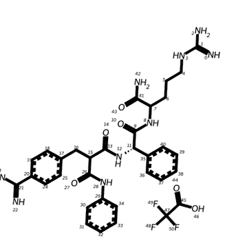 N=C(N)NCCCC(NC(=O)[C@@H](NC(=O)C(Cc1ccc(C(=N)N)cc1)C(=O)Nc1ccccc1)c1ccccc1)C(N)=O.O=C(O)C(F)(F)F